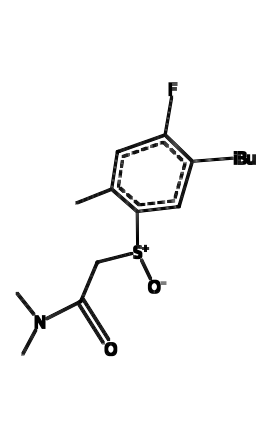 CCC(C)c1cc([S+]([O-])CC(=O)N(C)C)c(C)cc1F